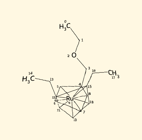 CCOC[C]12[CH]3[CH]4[CH]5[CH]1[Ru]45321678[CH]2[CH]1[C]6(CC)[C]7(CC)[CH]28